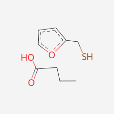 CCCC(=O)O.SCc1ccco1